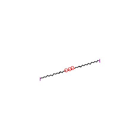 ICCCCCCCCCCCC=CCCCOCOCOCCCC=CCCCCCCCCCCCI